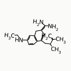 C=C(C)C(C)CC1=CC(=C(N)N)Cc2cc(NCC)ccc21